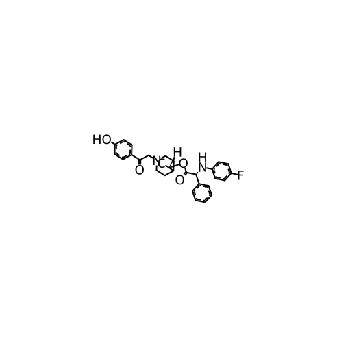 O=C(C[N+]12CCC(CC1)[C@@H](OC(=O)[C@H](Nc1ccc(F)cc1)c1ccccc1)C2)c1ccc(O)cc1